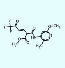 COC(=O)C(/C=C/C(=O)C(F)(F)F)C(=O)Nc1cc(OC)ncc1C